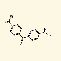 CCNc1ccc(C(=O)c2ccc(NCC)cc2)cc1